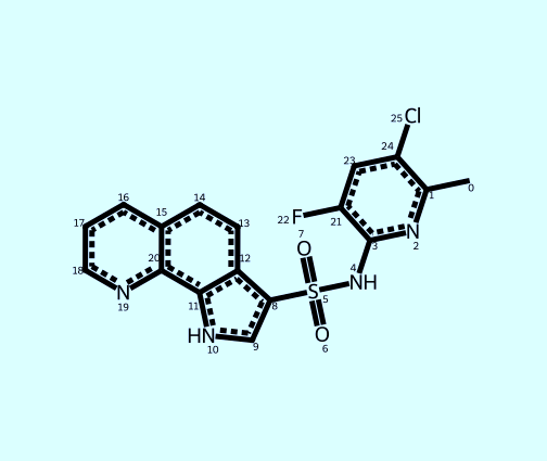 Cc1nc(NS(=O)(=O)c2c[nH]c3c2ccc2cccnc23)c(F)cc1Cl